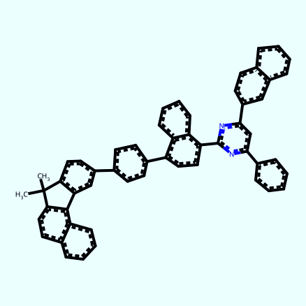 CC1(C)c2ccc(-c3ccc(-c4ccc(-c5nc(-c6ccccc6)cc(-c6ccc7ccccc7c6)n5)c5ccccc45)cc3)cc2-c2c1ccc1ccccc21